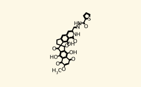 COC1=CC(=O)c2c(O)c3c(c(O)c2C1=O)C(=O)C1(CCc2cc4cc(C=NNC(=O)c5cccs5)[nH]c(=O)c4c(O)c21)C3=O